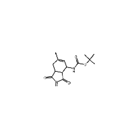 CC1=CC(NC(=O)OC(C)(C)C)C2C(=O)NC(=O)C2C1